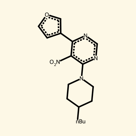 CCCCC1CCN(c2ncnc(-c3ccoc3)c2[N+](=O)[O-])CC1